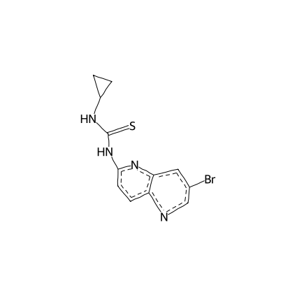 S=C(Nc1ccc2ncc(Br)cc2n1)NC1CC1